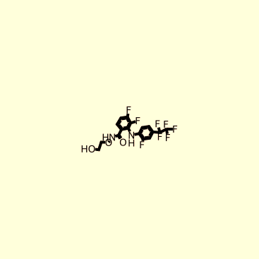 O=C(NOCCO)c1ccc(F)c(F)c1Nc1ccc(C(F)(F)C(F)(F)F)cc1F